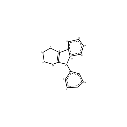 c1ccc(C2C3=C(CCCC3)c3ccccc32)cc1